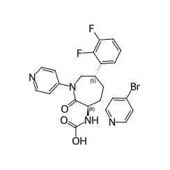 Brc1ccncc1.O=C(O)N[C@@H]1CC[C@@H](c2cccc(F)c2F)CN(c2ccncc2)C1=O